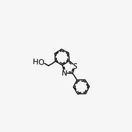 OCc1cccc2sc(-c3ccccc3)nc12